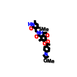 COC1CN(C2CCC(C3(C)Oc4c(C)c(C(=O)NCc5c(SC)cc(C)[nH]c5=O)c5ccoc5c4O3)CC2)C1